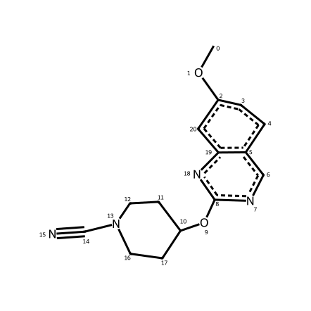 COc1ccc2cnc(OC3CCN(C#N)CC3)nc2c1